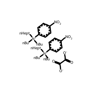 CCCCCCC[N+](CCCC)(CCCC)c1ccc([N+](=O)[O-])cc1.CCCCCCC[N+](CCCC)(CCCC)c1ccc([N+](=O)[O-])cc1.O=C([O-])C(=O)[O-]